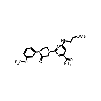 COCCNc1cc(C(N)=O)nc(N2CCN(c3cccc(OC(F)(F)F)c3)C(=O)C2)n1